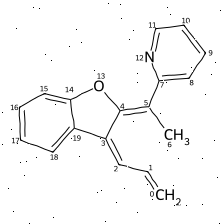 C=C/C=c1\c(=C(/C)c2ccccn2)oc2ccccc12